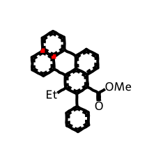 CCc1c(-c2ccccc2)c(C(=O)OC)c2cccc(-c3ccccc3)c2c1-c1ccccc1